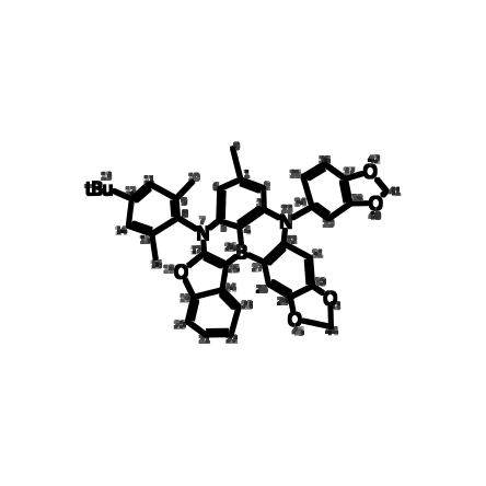 Cc1cc2c3c(c1)N(c1c(C)cc(C(C)(C)C)cc1C)c1oc4ccccc4c1B3c1cc3c(cc1N2c1ccc2c(c1)OCO2)OCO3